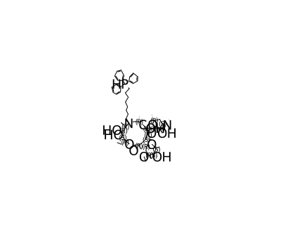 CC[C@H]1OC(=O)[C@H](C)C([C@H]2C[C@@](C)(OC)[C@@H](O)[C@H](C)O2)[C@H](C)[C@@H](O[C@@H]2O[C@H](C)C[C@H](N(C)C)[C@H]2O)[C@](C)(O)C[C@@H](C)CN(CCCCCCCC[PH](c2ccccc2)(c2ccccc2)c2ccccc2)[C@H](C)[C@@H](O)[C@]1(C)O